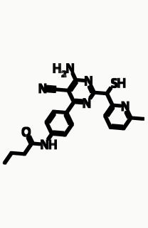 CCCC(=O)Nc1ccc(-c2nc(C(S)c3cccc(C)n3)nc(N)c2C#N)cc1